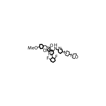 COc1ccc(CN2Cc3nc(-c4c(F)cccc4F)cc(Nc4ccc(N5CCC(N6CCOCC6)CC5)cn4)c3C2=O)c(OC)c1